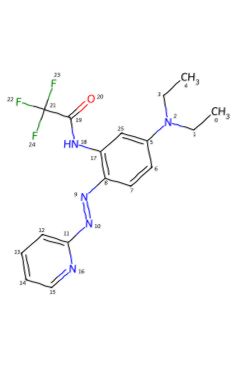 CCN(CC)c1ccc(N=Nc2ccccn2)c(NC(=O)C(F)(F)F)c1